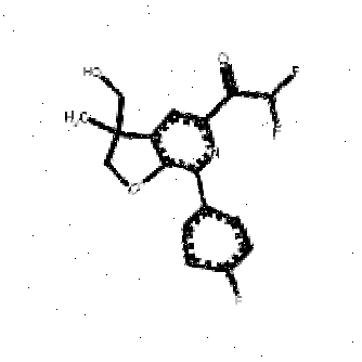 CC1(CO)COc2c1cc(C(=O)C(F)F)nc2-c1ccc(F)cc1